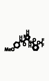 COC1CCC(NC(=O)c2n[nH]cc2NC(=O)c2ccccc2OC(F)F)CC1